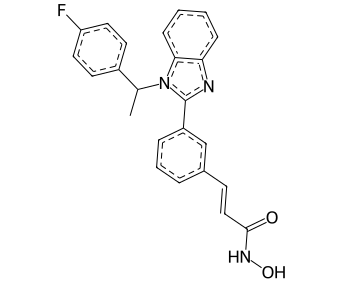 CC(c1ccc(F)cc1)n1c(-c2cccc(C=CC(=O)NO)c2)nc2ccccc21